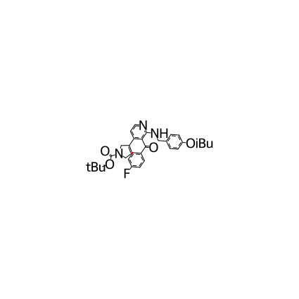 CC(C)COc1ccc(CNc2nccc(C3=CCN(C(=O)OC(C)(C)C)C3)c2C(=O)c2ccc(F)cc2)cc1